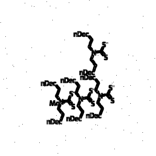 CCCCCCCCCCCCN(CCCCCCCCCCCC)C(=S)[S-].CCCCCCCCCCCCN(CCCCCCCCCCCC)C(=S)[S-].CCCCCCCCCCCCN(CCCCCCCCCCCC)C(=S)[S-].CCCCCCCCCCCCN(CCCCCCCCCCCC)C(=S)[S-].[Mo+4]